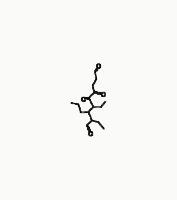 CCCC(C(C=O)CC)C(CC)C(=O)C(=O)CCC=O